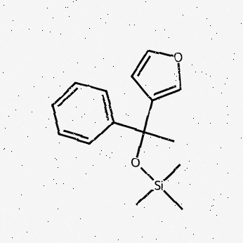 CC(O[Si](C)(C)C)(c1ccccc1)c1ccoc1